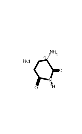 Cl.[2H]N1C(=O)CC[C@H](N)C1=O